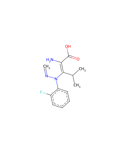 C=NN(/C(=C(\N)C(=O)O)C(C)C)c1ccccc1F